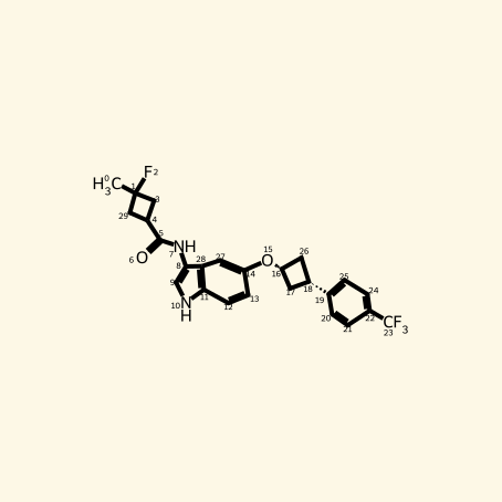 CC1(F)CC(C(=O)Nc2c[nH]c3ccc(O[C@H]4C[C@@H](c5ccc(C(F)(F)F)cc5)C4)cc23)C1